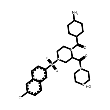 Cl.NC1CCC(C(=O)N2CCN(S(=O)(=O)c3ccc4cc(Cl)ccc4c3)CC2C(=O)N2CCSCC2)CC1